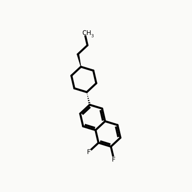 CCC[C@H]1CC[C@H](c2ccc3c(F)c(F)ccc3c2)CC1